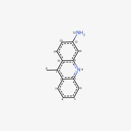 Cc1c2ccccc2nc2cc(N)ccc12